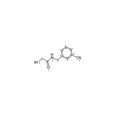 CC(C)CC(=O)NCc1cccc(C#N)c1